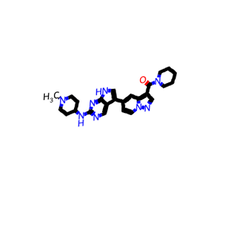 CN1CCC(Nc2ncc3c(-c4ccn5ncc(C(=O)N6CCCCC6)c5c4)c[nH]c3n2)CC1